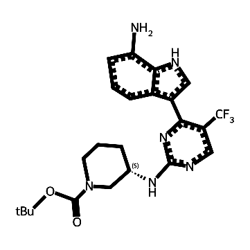 CC(C)(C)OC(=O)N1CCC[C@H](Nc2ncc(C(F)(F)F)c(-c3c[nH]c4c(N)cccc34)n2)C1